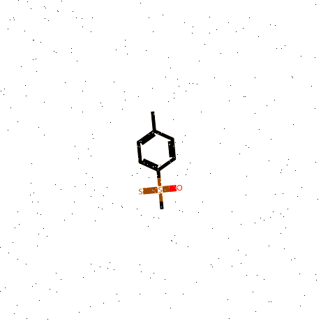 Cc1ccc(S(C)(=O)=S)cc1